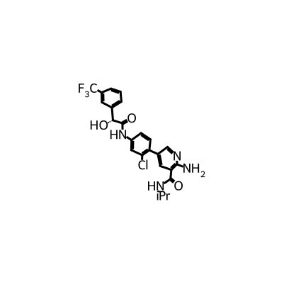 CC(C)NC(=O)c1cc(-c2ccc(NC(=O)[C@H](O)c3cccc(C(F)(F)F)c3)cc2Cl)cnc1N